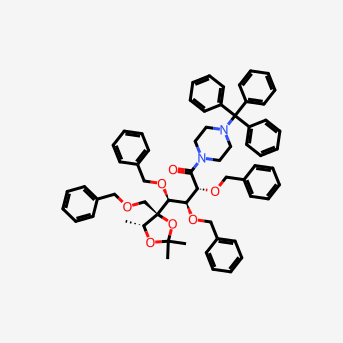 C[C@H]1OC(C)(C)O[C@@]1(COCc1ccccc1)[C@@H](OCc1ccccc1)[C@H](OCc1ccccc1)[C@@H](OCc1ccccc1)C(=O)N1CCN(C(c2ccccc2)(c2ccccc2)c2ccccc2)CC1